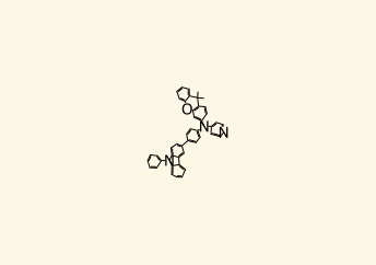 CC1(C)c2ccccc2Oc2cc(N(c3ccncc3)c3ccc(-c4ccc5c(c4)c4ccccc4n5-c4ccccc4)cc3)ccc21